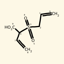 C=CCS(=O)(=O)[C](C=C)C(=O)O